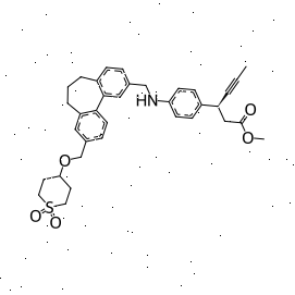 CC#C[C@@H](CC(=O)OC)c1ccc(NCc2ccc3c(c2)-c2ccc(COC4CCS(=O)(=O)CC4)cc2CCC3)cc1